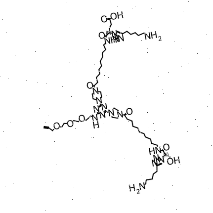 C#CCOCCOCCOCCNc1nc(N2CCN(C(=O)CCCCCCCCCCNC(=O)[C@@H](CCC(=O)O)n3cc(CCCCCN)nn3)CC2)nc(N2CCN(C(=O)CCCCCCCCCCNC(=O)[C@H](CO)n3cc(CCCCCN)nn3)CC2)n1